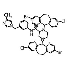 Cc1cn(Cc2cccc(NC(=O)C3CN(C4c5ccc(Cl)cc5CCc5cc(Br)cnc54)CCN3C3c4ccc(Cl)cc4CCc4cc(Br)cnc43)c2)cn1